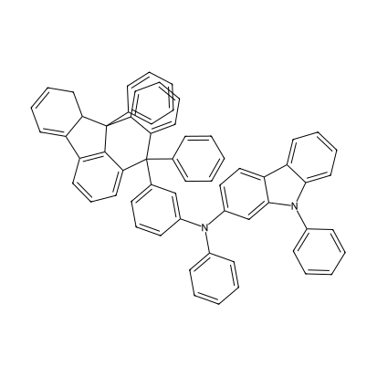 C1=CCC2C(=C1)c1cccc3c1C2(c1ccccc1)c1ccccc1C3(c1ccccc1)c1cccc(N(c2ccccc2)c2ccc3c4ccccc4n(-c4ccccc4)c3c2)c1